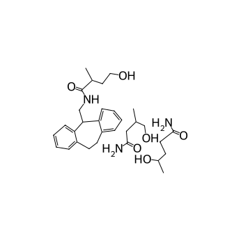 CC(CCO)C(=O)NCC1c2ccccc2CCc2ccccc21.CC(CO)CC(N)=O.CC(O)CCC(N)=O